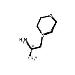 N[C@@H](CN1CCOCC1)C(=O)O